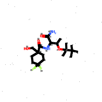 CC(O[Si](C)(C)C(C)(C)C)C(NC(=O)C1(CO)CCC(F)(F)CC1)C(N)=O